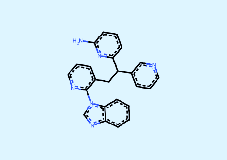 Nc1cccc(C(Cc2cccnc2-n2cnc3ccccc32)c2cccnc2)n1